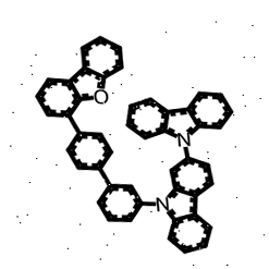 c1cc(-c2ccc(-c3cccc4c3oc3ccccc34)cc2)cc(-n2c3ccccc3c3ccc(-n4c5ccccc5c5ccccc54)cc32)c1